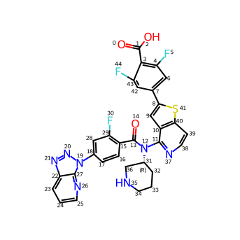 O=C(O)c1c(F)cc(-c2cc3c(N(C(=O)c4ccc(-n5nnc6cccnc65)cc4F)[C@@H]4CCCNC4)nccc3s2)cc1F